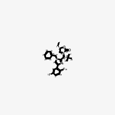 CC[C@H]1CN([C@@H](c2nc(-c3cc(F)ccc3F)cn2Cc2ccccc2)C(C)(C)C)C(=O)O1